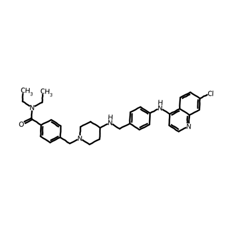 CCN(CC)C(=O)c1ccc(CN2CCC(NCc3ccc(Nc4ccnc5cc(Cl)ccc45)cc3)CC2)cc1